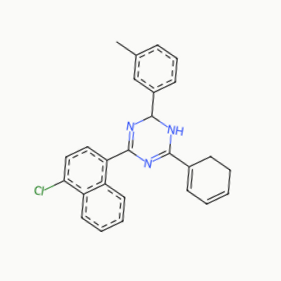 Cc1cccc(C2N=C(c3ccc(Cl)c4ccccc34)N=C(C3=CC=CCC3)N2)c1